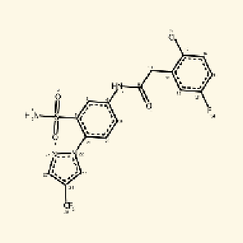 NS(=O)(=O)c1cc(NC(=O)Cc2cc(F)ccc2Cl)ccc1-n1cc(C(F)(F)F)cn1